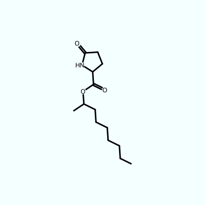 CCCCCCCC(C)OC(=O)C1CCC(=O)N1